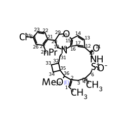 C/C=C1\C[C@H](C)C[S+]([O-])NC(=O)c2ccc3c(c2)N(CC(c2ccc(Cl)cc2CCC)CO3)CC2CCC2C1OC